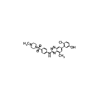 Cc1cc(-c2cc(O)ccc2Cl)cc2nnc(Nc3ccc(S(=O)(=O)N4CCN(C)CC4)cc3)nc12